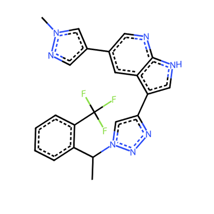 CC(c1ccccc1C(F)(F)F)n1cc(-c2c[nH]c3ncc(-c4cnn(C)c4)cc23)nn1